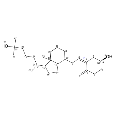 C=C1CC[C@H](O)C/C1=C/CC1CCCC2(C)C1CCC2[C@H](C)CCCC(C)(C)O